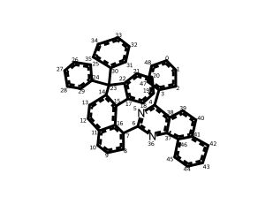 c1ccc(-c2nc(-c3cccc4ccc5c(c34)-c3ccccc3C5(c3ccccc3)c3ccccc3)nc3c2ccc2ccccc23)cc1